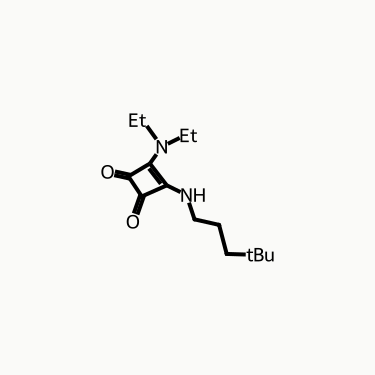 CCN(CC)c1c(NCCCC(C)(C)C)c(=O)c1=O